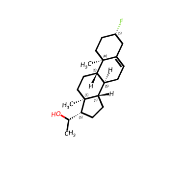 CC(O)[C@H]1CC[C@H]2[C@@H]3CC=C4C[C@@H](F)CC[C@]4(C)[C@H]3CC[C@]12C